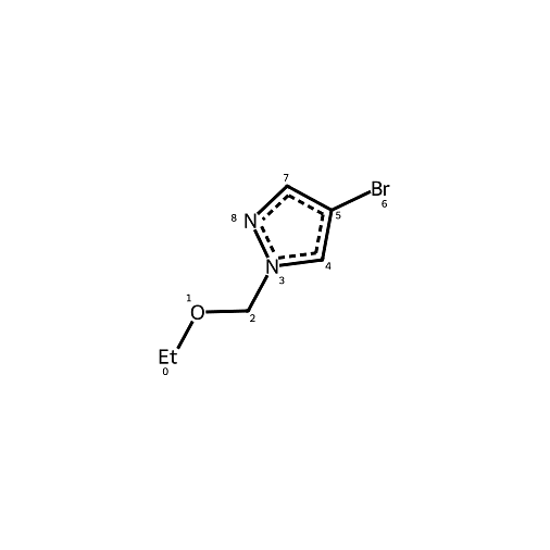 CCOCn1cc(Br)cn1